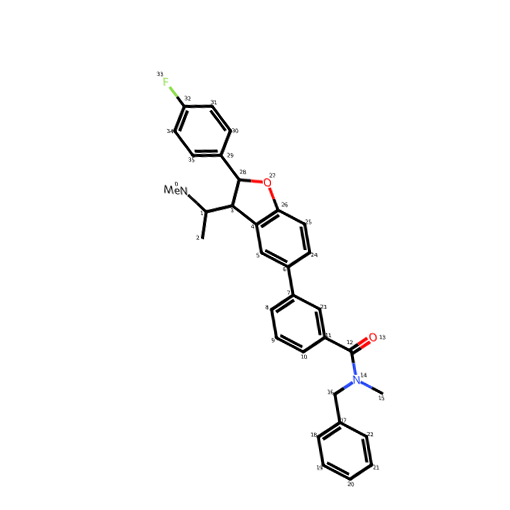 CNC(C)C1c2cc(-c3cccc(C(=O)N(C)Cc4ccccc4)c3)ccc2OC1c1ccc(F)cc1